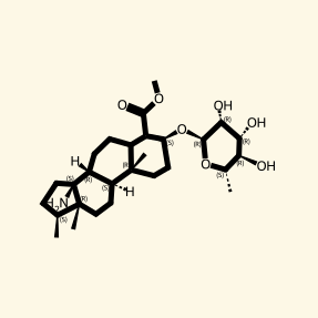 COC(=O)C1C2CC[C@@H]3[C@H](CC[C@]4(C)[C@@H](C)CC[C@]34N)[C@@]2(C)CC[C@@H]1O[C@@H]1O[C@@H](C)[C@H](O)[C@@H](O)[C@H]1O